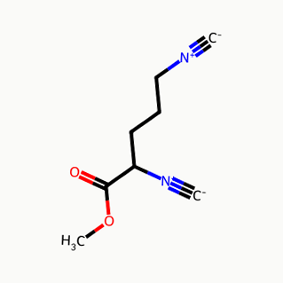 [C-]#[N+]CCCC([N+]#[C-])C(=O)OC